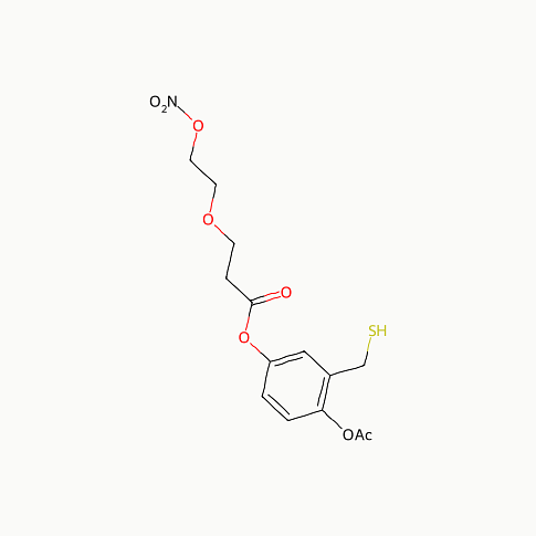 CC(=O)Oc1ccc(OC(=O)CCOCCO[N+](=O)[O-])cc1CS